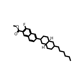 CCCCCCC1CC[C@@H]2CC(c3ccc4cc(C(=O)OC)c(F)cc4c3)CC[C@H]2C1